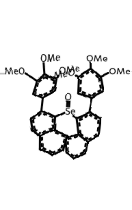 COc1cc(-c2ccc3ccccc3c2[Se](=O)c2c(-c3cc(OC)c(OC)c(OC)c3)ccc3ccccc23)cc(OC)c1OC